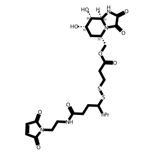 CCCC(CCC(=O)NCCN1C(=O)C=CC1=O)SSCCC(=O)OC[C@@H]1C[C@H](O)[C@H](O)[C@H]2NC(=O)C(=O)N12